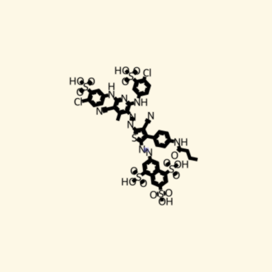 CCCC(=O)Nc1ccc(-c2c(/N=N/c3cc(S(=O)(=O)O)c4cc(S(=O)(=O)O)cc(S(=O)(=O)O)c4c3)sc(N=Nc3c(Nc4ccc(Cl)c(S(=O)(=O)O)c4)nc(Nc4ccc(Cl)c(S(=O)(=O)O)c4)c(C#N)c3C)c2C#N)cc1